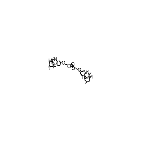 C[C@@H]1CC[C@@H]2[C@@H](C1)c1ccc(OCCO[N+](=O)OCCOc3ccc4c(c3)N(C)C(C)(C)[C@@H]3CC[C@@H](C)C[C@@H]43)cc1N(C)C2(C)C